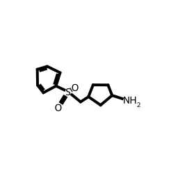 NC1CCC(CS(=O)(=O)c2ccccc2)C1